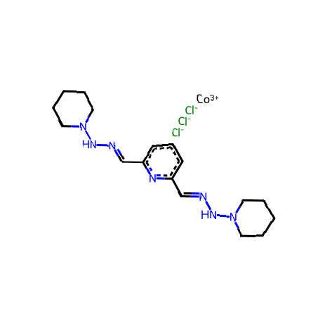 C(=NNN1CCCCC1)c1cccc(C=NNN2CCCCC2)n1.[Cl-].[Cl-].[Cl-].[Co+3]